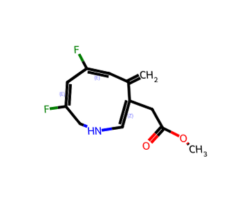 C=C1/C=C(F)\C=C(\F)CN/C=C\1CC(=O)OC